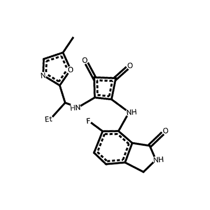 CCC(Nc1c(Nc2c(F)ccc3c2C(=O)NC3)c(=O)c1=O)c1ncc(C)o1